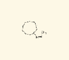 C/C=N\C1CCCCCCCCC1